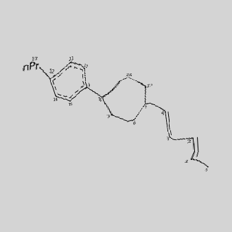 CC=CC=CC1CCC(c2ccc(CCC)cc2)CC1